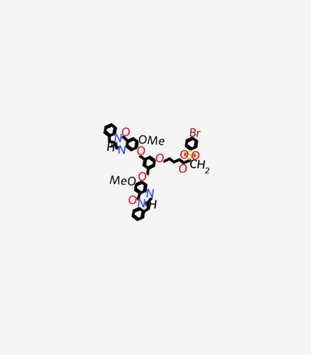 C=C(C(=O)CCCCOc1cc(COc2cc3c(cc2OC)C(=O)N2c4ccccc4C[C@H]2C=N3)cc(COc2cc3c(cc2OC)C(=O)N2c4ccccc4C[C@H]2C=N3)c1)S(=O)(=O)c1ccc(Br)cc1